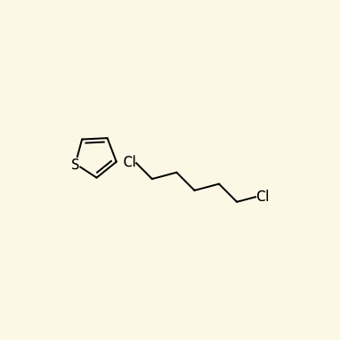 ClCCCCCCl.c1ccsc1